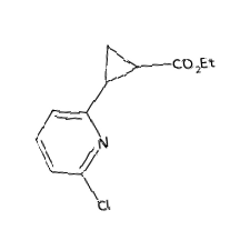 CCOC(=O)C1CC1c1cccc(Cl)n1